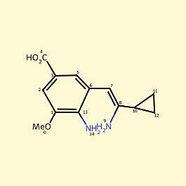 COc1cc(C(=O)O)cc(/C=C(\N)C2CC2)c1N